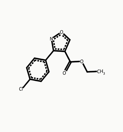 CCOC(=O)c1conc1-c1ccc(Cl)cc1